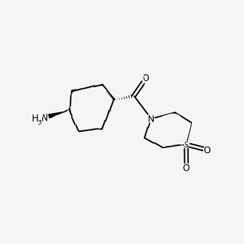 N[C@H]1CC[C@H](C(=O)N2CCS(=O)(=O)CC2)CC1